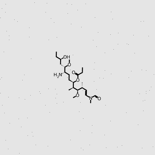 CCC(=O)O[C@H](CC[C@H](N)[C@H](C[C@H](O)CC)OC)[C@H](C)[C@H](OC)[C@H](C)/C=C/N(C)C=O